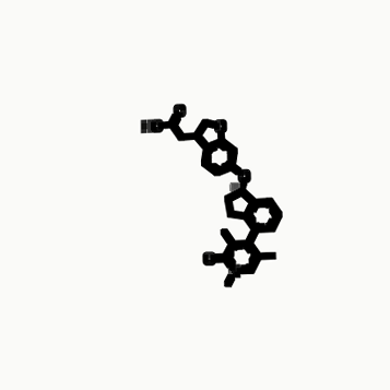 Cc1cn(C)c(=O)c(C)c1-c1cccc2c1CC[C@H]2Oc1ccc2c(c1)OCC2CC(=O)O